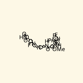 COc1cc(C(=O)NC2CC3(CCN(CC4CCN(c5ccc(C6CCC(=O)NC6=O)cc5F)CC4)CC3)C2)ccc1Nc1ncc2c(n1)N(C(C)C)CC(F)(F)CN2C